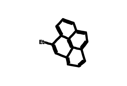 CCc1cc2c[c]cc3ccc4cccc1c4c32